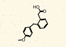 COc1ccc(Cc2ccccc2CC(=O)O)cc1